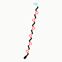 C#CCOCCOCCOCCOCCOCCOCC[18F]